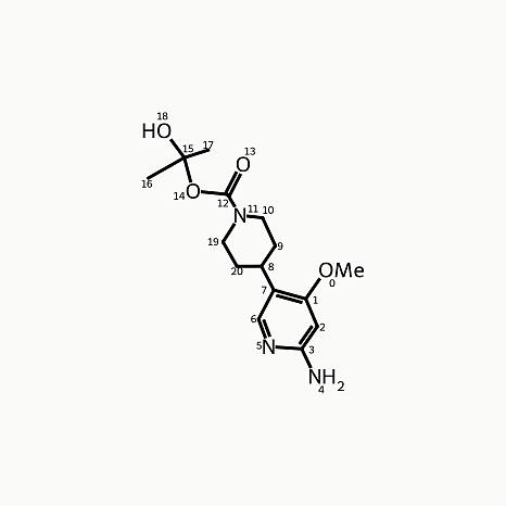 COc1cc(N)ncc1C1CCN(C(=O)OC(C)(C)O)CC1